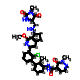 COc1nc(-c2cccc(-c3cccc(NC(=O)c4ccnn(C)c4=O)c3C)c2Cl)cc2c1[C@@H](NC[C@H]1NC(=O)N(C)C1=O)CC2